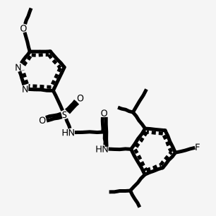 COc1ccc(S(=O)(=O)NC(=O)Nc2c(C(C)C)cc(F)cc2C(C)C)nn1